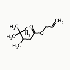 C=CCOC(=O)CC(C)C(C)(C)C